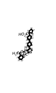 Cc1nsc(-c2ccc(-c3ccc(C4(C(=O)O)CCCC4)cc3)cc2)c1NC(=O)O[C@H](C)c1ccccc1